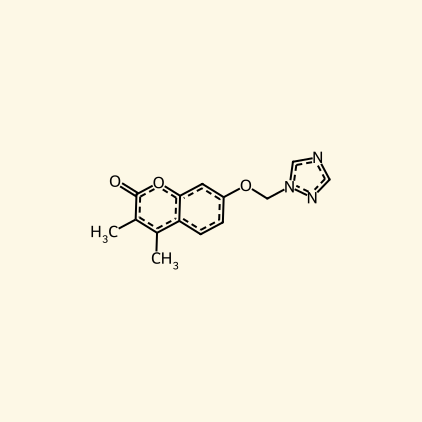 Cc1c(C)c2ccc(OCn3cncn3)cc2oc1=O